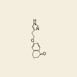 O=C1CCCc2cc(OCCc3c[nH]cn3)ccc21